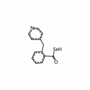 O=C([SeH])c1ccccc1Cc1ccncc1